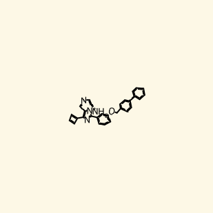 N[N+]12C=CN=CC1=C(C1=CC=C1)N=C2c1cccc(OCc2ccc(-c3ccccc3)cc2)c1